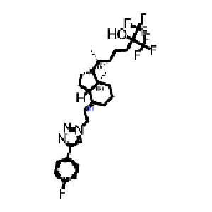 C[C@H](CCCC(O)(C(F)(F)F)C(F)(F)F)[C@H]1CC[C@H]2/C(=C/Cn3cc(-c4ccc(F)cc4)nn3)CCC[C@]12C